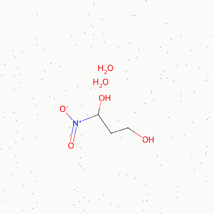 O.O.O=[N+]([O-])C(O)CCO